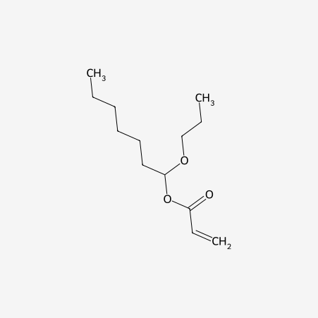 C=CC(=O)OC(CCCCCC)OCCC